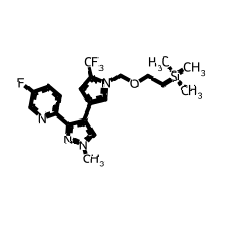 Cn1cc(-c2cc(C(F)(F)F)n(COCC[Si](C)(C)C)c2)c(-c2ccc(F)cn2)n1